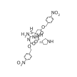 NC(=NC(=O)OCc1ccc([N+](=O)[O-])cc1)NC(S)(CC(=O)OCc1ccc([N+](=O)[O-])cc1)NC(=O)[C@H]1CCNC1